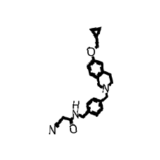 N#CCC(=O)NCc1ccc(CN2CCc3cc(OCC4CC4)ccc3C2)cc1